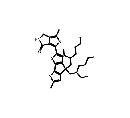 CCCCC(CC)CC1(CC(CC)CCCC)c2cc(C)sc2-c2sc(-c3sc(C)c4c3C(=O)NC4)cc21